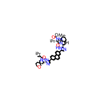 COC(=O)N[C@H](C(=O)N1[C@H](c2ncc(-c3ccc4c(ccc5cc(-c6cnc([C@@H]7C[C@@]8(CCCOC8)CN7C(=O)[C@@H](C)C(C)C)[nH]6)ccc54)c3)[nH]2)C[C@@H]2CCCC[C@@H]21)C(C)C